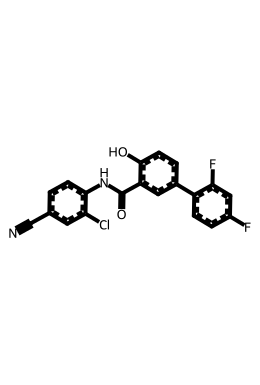 N#Cc1ccc(NC(=O)c2cc(-c3ccc(F)cc3F)ccc2O)c(Cl)c1